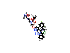 CC/C(=C(/c1ccc(OCCN(C/C=C/C(=O)N(C)C)C(=O)OC(C)(C)C)nc1)c1[nH]c2ccccc2c1Cl)c1ccc(F)cc1F